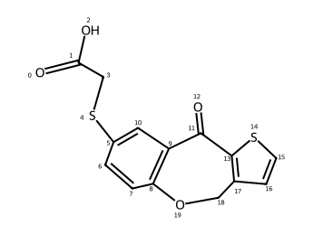 O=C(O)CSc1ccc2c(c1)C(=O)c1sccc1CO2